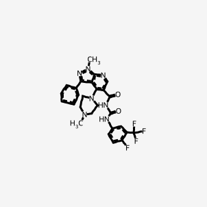 CN1CCN(c2c(C(=O)NC(=O)Nc3ccc(F)c(C(F)(F)F)c3)cnc3c2c(-c2ccccc2)nn3C)CC1